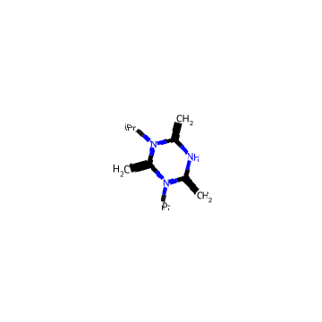 C=C1NC(=C)N(C(C)C)C(=C)N1C(C)C